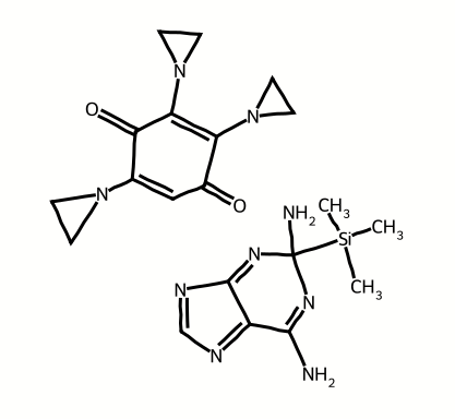 C[Si](C)(C)C1(N)N=C(N)C2=NC=NC2=N1.O=C1C=C(N2CC2)C(=O)C(N2CC2)=C1N1CC1